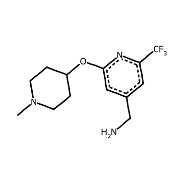 CN1CCC(Oc2cc(CN)cc(C(F)(F)F)n2)CC1